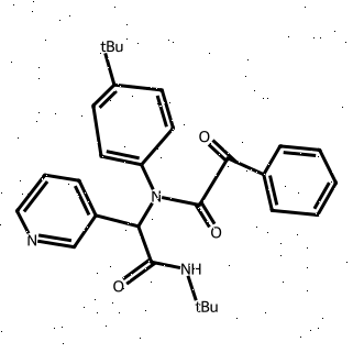 CC(C)(C)NC(=O)C(c1cccnc1)N(C(=O)C(=O)c1ccccc1)c1ccc(C(C)(C)C)cc1